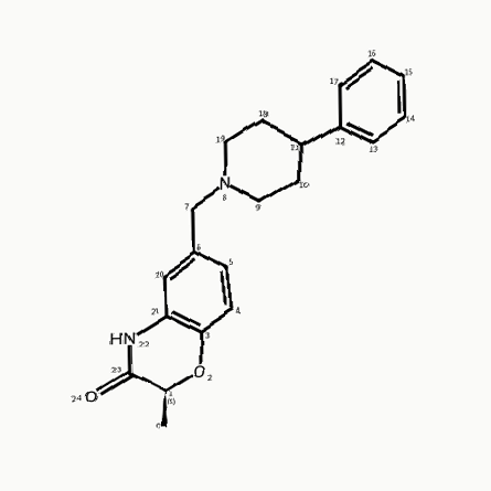 C[C@@H]1Oc2ccc(CN3CCC(c4ccccc4)CC3)cc2NC1=O